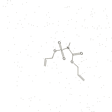 C=CCOC(=O)N(C)S(=O)(=O)OCC=C